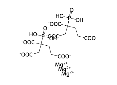 O=C([O-])CCC(CC(=O)[O-])(C(=O)[O-])P(=O)(O)O.O=C([O-])CCC(CC(=O)[O-])(C(=O)[O-])P(=O)(O)O.[Mg+2].[Mg+2].[Mg+2]